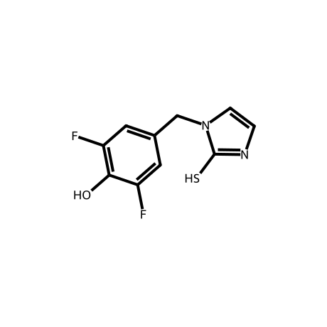 Oc1c(F)cc(Cn2ccnc2S)cc1F